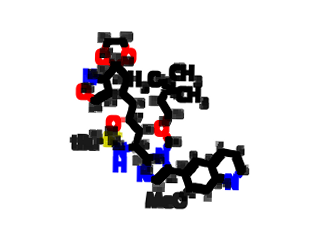 COc1cc2ncccc2cc1-c1cnc([C@H](CCCCCC2(c3ccon3)OCCO2)N[S+]([O-])C(C)(C)C)n1COCC[Si](C)(C)C